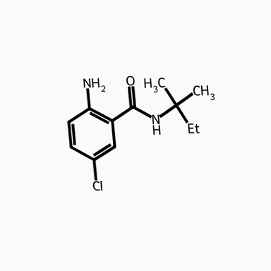 CCC(C)(C)NC(=O)c1cc(Cl)ccc1N